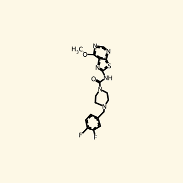 COc1ncnc2sc(NC(=O)N3CCN(Cc4ccc(F)c(F)c4)CC3)nc12